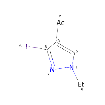 CCn1cc(C(C)=O)c(I)n1